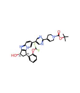 CC(C)(C)OC(=O)N1CC=C(c2ncc(-c3ccc4nc5c(n4c3)[C@@H](c3ccccc3OC(F)F)C[C@H]5O)cn2)CC1